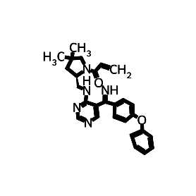 C=CC(=O)N1CC(C)(C)C[C@@H]1CNc1ncncc1C(=N)c1ccc(Oc2ccccc2)cc1